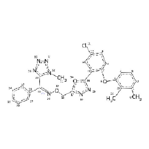 Cc1cccc(Oc2ccc(Cl)cc2-c2nnc(CO/N=C(/c3ccccc3)c3nnnn3C)o2)c1C